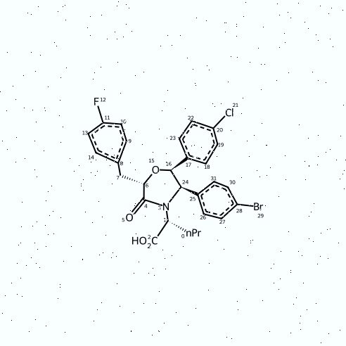 CCC[C@H](C(=O)O)N1C(=O)[C@H](Cc2ccc(F)cc2)O[C@@H](c2ccc(Cl)cc2)[C@H]1c1ccc(Br)cc1